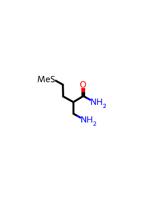 CSCCC(CN)C(N)=O